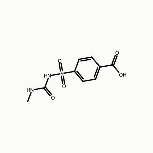 CNC(=O)NS(=O)(=O)c1ccc(C(=O)O)cc1